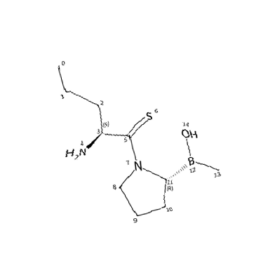 CCC[C@H](N)C(=S)N1CCC[C@H]1B(C)O